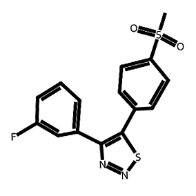 CS(=O)(=O)c1ccc(-c2snnc2-c2cccc(F)c2)cc1